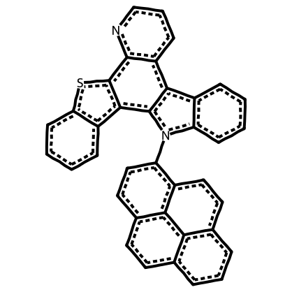 c1cc2ccc3ccc(-n4c5ccccc5c5c6cccnc6c6sc7ccccc7c6c54)c4ccc(c1)c2c34